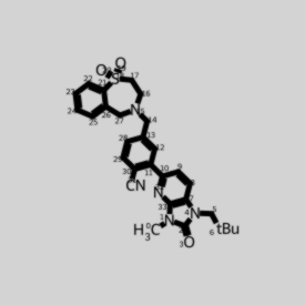 Cn1c(=O)n(CC(C)(C)C)c2ccc(-c3cc(CN4CCS(=O)(=O)c5ccccc5C4)ccc3C#N)nc21